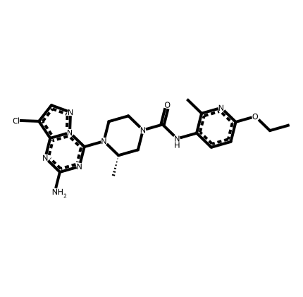 CCOc1ccc(NC(=O)N2CCN(c3nc(N)nc4c(Cl)cnn34)[C@@H](C)C2)c(C)n1